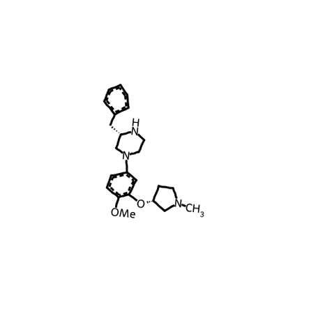 COc1ccc(N2CCN[C@@H](Cc3ccccc3)C2)cc1O[C@@H]1CCN(C)C1